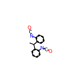 CC(c1ccccc1N=C=O)c1ccccc1N=C=O